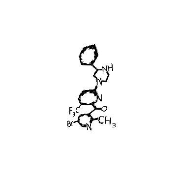 Cc1ncc(Br)cc1C(=O)c1nc(N2CCNC(c3ccccc3)C2)ccc1C(F)(F)F